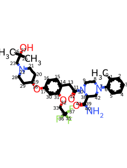 Cc1ccccc1N1CCN(C(=O)Cc2ccc(OC3CCN(CC(C)(C)O)CC3)cc2OCC(F)(F)F)C(C(N)=O)C1